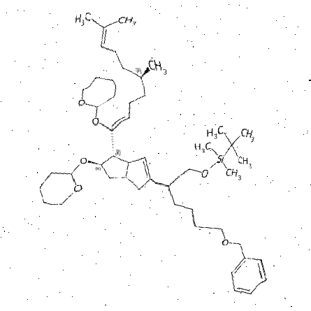 CC(C)=CCC[C@@H](C)CCC=C(OC1CCCCO1)[C@@H]1C2C=C(C(CCCCOCc3ccccc3)CO[Si](C)(C)C(C)(C)C)CC2C[C@H]1OC1CCCCO1